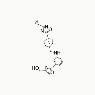 OCc1coc(-c2cccc(NCC34CCC(c5nc(C6CC6)no5)(CC3)CC4)c2)n1